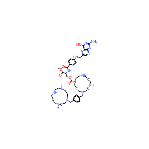 COC(=O)C(COC(=O)N1CCCN(Cc2ccc(CN3CCCNCCNCCCNCC3)cc2)CCNCCCNCC1)NC(=O)c1ccc(NCc2cnc3nc(N)nc(O)c3n2)cc1